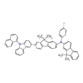 CC1(C)c2ccccc2-c2ccc(N(c3ccc(F)cc3)c3ccc4c(c3)C(C)(C)c3cc(-c5ccc6c(c5)c5ccccc5n6-c5cccc6ccccc56)ccc3-4)cc21